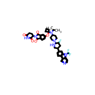 CC(C)N(C1CCN(C2NCC(c3ccc4c5cnccc5n(C(F)F)c4c3)CC2F)CC1)C1(Oc2ccc3c(c2)C(=O)N(C2CCC(=O)NC2=O)C3=O)CCC1